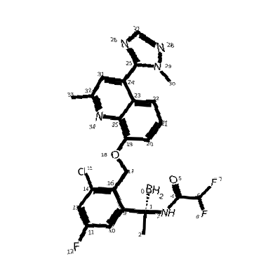 B[C@@](C)(NC(=O)C(F)F)c1cc(F)cc(Cl)c1COc1cccc2c(-c3ncnn3C)cc(C)nc12